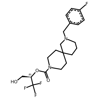 O=C(O[C@H](CO)C(F)(F)F)N1CCC2(CCCN(Cc3ccc(F)cc3)C2)CC1